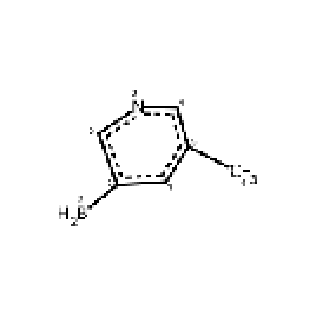 Bc1cncc(C(F)(F)F)c1